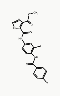 COC(=O)c1nc[nH]c1C(=O)Nc1ccc(NC(=O)c2ccc(F)cc2)c(F)c1